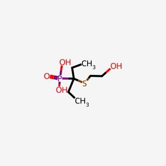 CCC(CC)(SCCO)P(=O)(O)O